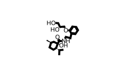 CC(C)[C@@H]1CC[C@@H](C)C[C@@]1(O)C(=O)NCCc1ccccc1OCC(O)CO